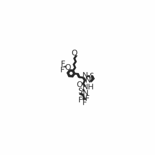 O=CCCCCc1c(/C=C/c2nc3sccn3c2C(=O)Nc2nc(C(F)(F)F)cs2)cccc1OC(F)F